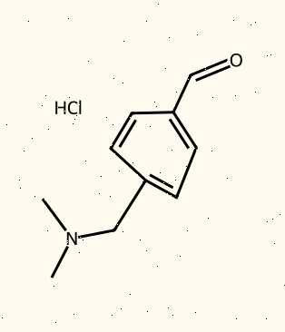 CN(C)Cc1ccc(C=O)cc1.Cl